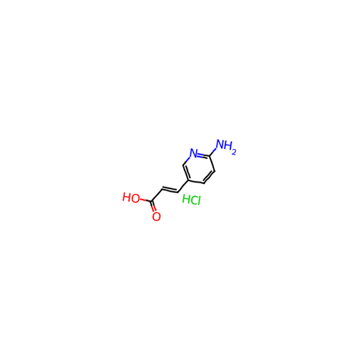 Cl.Nc1ccc(C=CC(=O)O)cn1